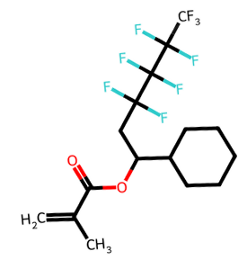 C=C(C)C(=O)OC(CC(F)(F)C(F)(F)C(F)(F)C(F)(F)F)C1CCCCC1